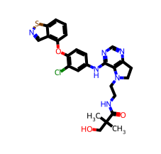 CC(C)(CO)C(=O)NCCN1CCc2ncnc(Nc3ccc(Oc4cccc5sncc45)c(Cl)c3)c21